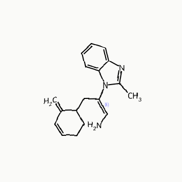 C=C1C=CCCC1C/C(=C\N)n1c(C)nc2ccccc21